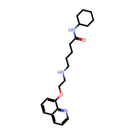 O=C(CCCCNCCOc1cccc2cccnc12)NC1CCCCC1